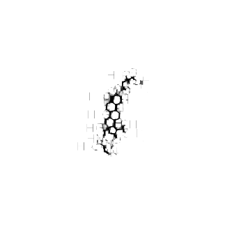 CC(C)C1=C2[C@H]3CC[C@@H]4[C@@]5(C)CC[C@H](OC(=O)CC(C)(C)C(=O)O)C(C)(C)[C@@H]5CC[C@@]4(C)[C@]3(C)CC[C@@]2([C@@H](O)CN[C@H](C)c2ccncn2)CC1=O